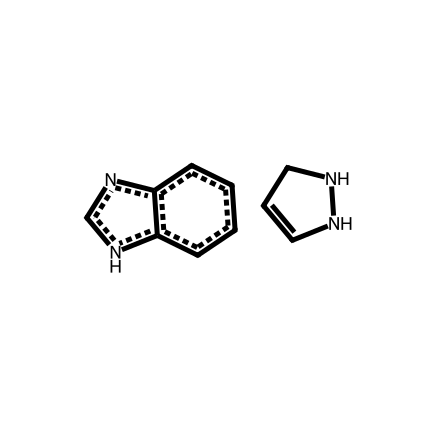 C1=CNNC1.c1ccc2[nH]cnc2c1